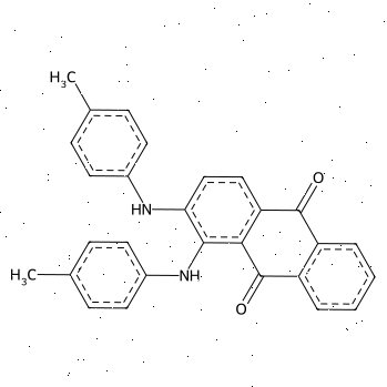 Cc1ccc(Nc2ccc3c(c2Nc2ccc(C)cc2)C(=O)c2ccccc2C3=O)cc1